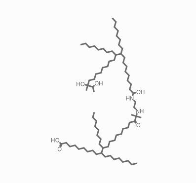 CCCCCCCCC(CCCCCCCCC(=O)O)C(CCCCCCCC)CCCCCCCCC(=O)C(C)(C)NCCNC(O)CCCCCCCCC(CCCCCCCC)C(CCCCCCCC)CCCCCCCCC(C)(O)C(C)O